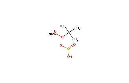 CC(C)(C)OO.O=S([O-])O.[Na+]